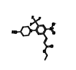 CCOC(=O)C=Cc1cc(N2CCC(O)CC2)c(C(F)(F)F)cc1[N+](=O)[O-]